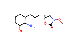 CON1C[C@@H](CCCC2CCCC(O)C2N)OC1=O